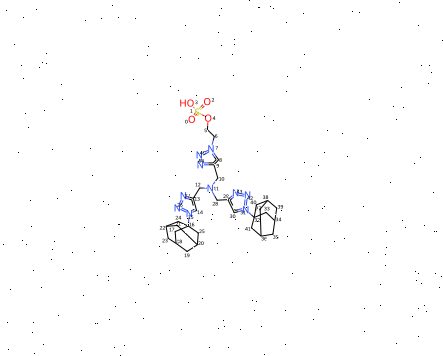 O=S(=O)(O)OCCn1cc(CN(Cc2cn(C34CC5CC(CC(C5)C3)C4)nn2)Cc2cn(C34CC5CC(CC(C5)C3)C4)nn2)nn1